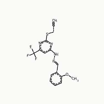 C#CCSc1nc(NN=Cc2ccccc2OC)cc(C(F)(F)F)n1